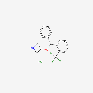 Cl.FC(F)(F)c1ccccc1C(OC1CNC1)c1ccccc1